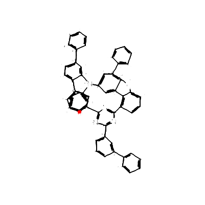 c1ccc(-c2cccc(-c3nc(-c4ccccc4)nc(-c4cccc5oc6c(-c7ccccc7)cc(-n7c8ccccc8c8ccc(-c9ccccc9)cc87)cc6c45)n3)c2)cc1